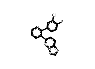 Fc1ccc(-c2ncccc2-c2ccc3ncnn3n2)cc1Cl